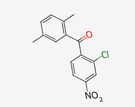 Cc1ccc(C)c(C(=O)c2ccc([N+](=O)[O-])cc2Cl)c1